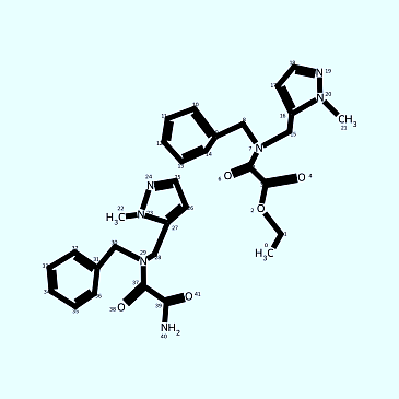 CCOC(=O)C(=O)N(Cc1ccccc1)Cc1ccnn1C.Cn1nccc1CN(Cc1ccccc1)C(=O)C(N)=O